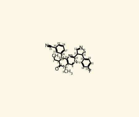 CCC1C(=O)N(C)c2cnc(C3C=NSC3c3ccc(F)cc3)nc2N1c1cccc(C#N)c1